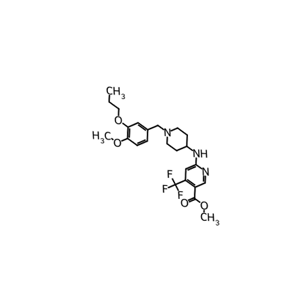 CCCOc1cc(CN2CCC(Nc3cc(C(F)(F)F)c(C(=O)OC)cn3)CC2)ccc1OC